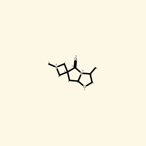 CC1COC2CC3(CN(C)C3)C(=O)N12